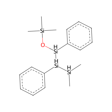 C[SiH](C)[SiH](c1ccccc1)[SiH](O[Si](C)(C)C)c1ccccc1